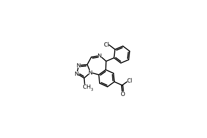 Cc1nnc2n1-c1ccc(C(=O)Cl)cc1C(c1ccccc1Cl)N=C2